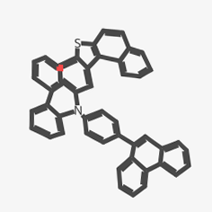 c1ccc(-c2ccccc2N(c2ccc(-c3cc4ccccc4c4ccccc34)cc2)c2ccc3sc4ccc5ccccc5c4c3c2)cc1